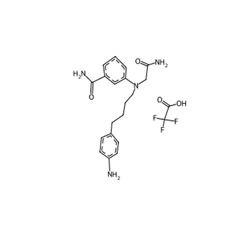 NC(=O)CN(CCCCc1ccc(N)cc1)c1cccc(C(N)=O)c1.O=C(O)C(F)(F)F